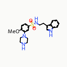 COc1ccc(S(=O)(=O)NCCc2c[nH]c3ccccc23)cc1N1CCNCC1